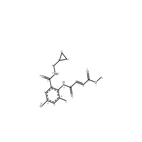 COC(=O)/C=C/C(=O)Nc1c(C)cc(Cl)cc1C(=O)NCC1CC1